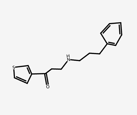 O=C(CCNCCCc1ccccc1)c1ccsc1